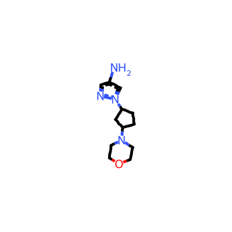 Nc1cnn(C2CCC(N3CCOCC3)C2)c1